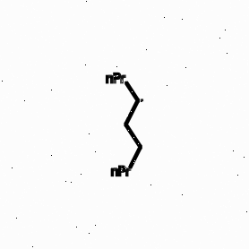 C[CH]C[CH]CCCCC